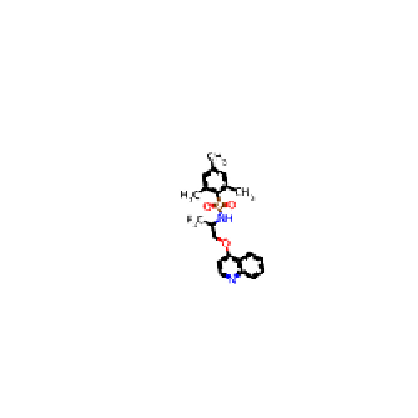 Cc1cc(C)c(S(=O)(=O)NC(COc2ccnc3ccccc23)C(F)(F)F)c(C)c1